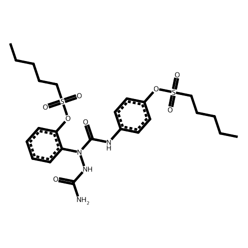 CCCCCS(=O)(=O)Oc1ccc(NC(=O)N(NC(N)=O)c2ccccc2OS(=O)(=O)CCCCC)cc1